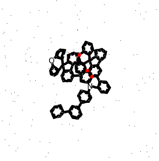 c1ccc(-c2cccc(-c3ccc(N(c4cccc(-c5cccc6c5-c5ccccc5C65c6ccccc6Oc6ccccc65)c4)c4ccccc4-c4ccc5c(c4)-c4ccccc4C54c5ccccc5Oc5ccccc54)cc3)c2)cc1